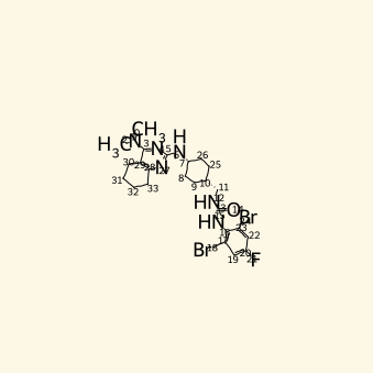 CN(C)c1nc(N[C@H]2CC[C@@H](CNC(=O)Nc3c(Br)cc(F)cc3Br)CC2)nc2c1CCCC2